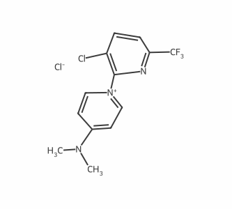 CN(C)c1cc[n+](-c2nc(C(F)(F)F)ccc2Cl)cc1.[Cl-]